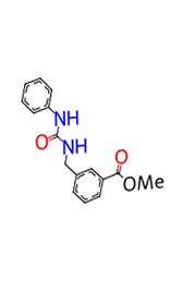 COC(=O)c1cccc(CNC(=O)Nc2ccccc2)c1